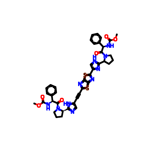 COC(=O)N[C@@H](C(=O)N1CCCC1c1nc(-c2nc3sc(C#Cc4cnc([C@@H]5CCCN5C(=O)[C@H](NC(=O)OC)c5ccccc5)[nH]4)nc3s2)c[nH]1)c1ccccc1